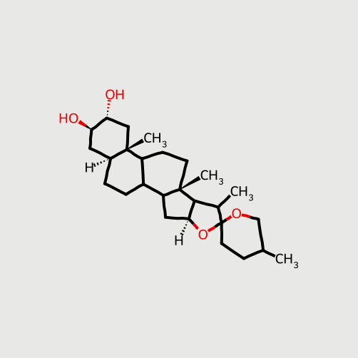 CC1CCC2(OC1)O[C@H]1CC3C4CC[C@H]5C[C@@H](O)[C@H](O)C[C@]5(C)C4CC[C@]3(C)C1C2C